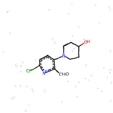 O=Cc1nc(Cl)ccc1N1CCC(O)CC1